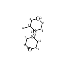 CC1COCCN1N1CCOCC1